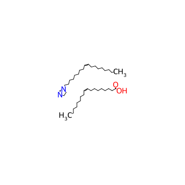 CCCCCCCC/C=C\CCCCCCCC(=O)O.CCCCCCCC/C=C\CCCCCCCCN1C=NCC1